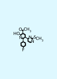 CSc1nccc(-c2cc(C(C)=O)c(O)nc2-c2ccc(F)cc2)n1